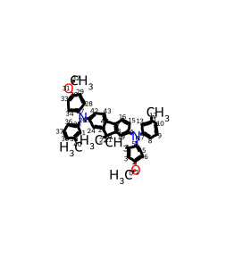 COc1ccc(N(c2cccc(C)c2)c2ccc3c(c2)C(C)(C)c2cc(N(c4ccc(OC)cc4)c4cccc(C)c4)ccc2-3)cc1